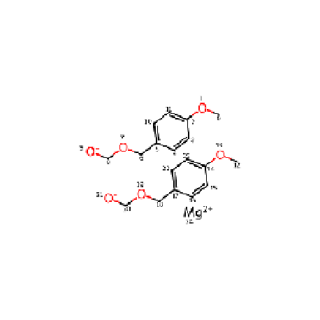 COc1ccc(COC[O-])cc1.COc1ccc(COC[O-])cc1.[Mg+2]